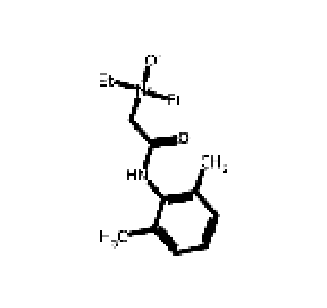 CC[N+]([O-])(CC)CC(=O)Nc1c(C)cccc1C